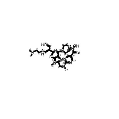 CN(C)CCN/C=C(\C=N)c1nc(N2CCOCC2)c2nc(CN(C)c3ncc(C(=O)NO)cn3)n(C)c2n1